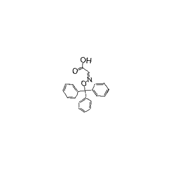 O=C(O)/C=N\OC(c1ccccc1)(c1ccccc1)c1ccccc1